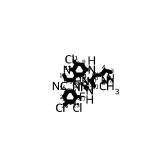 Cn1nccc1[C@H](Nc1cc(Cl)c2ncc(C#N)c(Nc3ccc(Cl)c(Cl)c3F)c2c1)C1=CNNN1